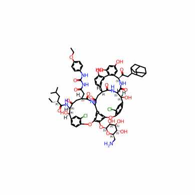 CCOc1ccc(NC(=O)NC(=O)C[C@@H]2CC(=O)[C@H](NC(=O)[C@H](CC)CC(C)C)[C@H](O)c3ccc(c(Cl)c3)Oc3cc4cc(c3O[C@@H]3O[C@H](CN)[C@@H](O)[C@H](O)[C@H]3O)Oc3ccc(cc3Cl)[C@@H](O)[C@@H]3NC(=O)[C@H](CC(=O)C4NC2=O)c2ccc(O)c(c2)-c2c(O)cc(O)cc2[C@@H](C(=O)CC2C4CC5CC(C4)CC2C5)NC3=O)cc1